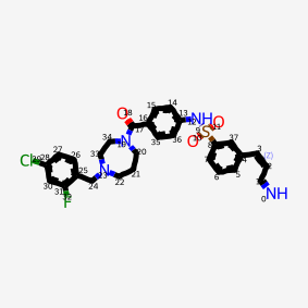 N=C/C=C\c1cccc(S(=O)(=O)Nc2ccc(C(=O)N3CCCN(Cc4ccc(Cl)cc4F)CC3)cc2)c1